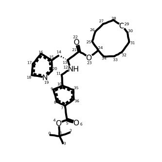 CC(C)(C)OC(=O)c1ccc(CN[C@H](Cc2cccnc2)C(=O)OC2CCCCCCCCCC2)cc1